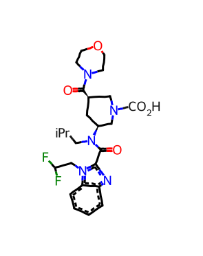 CC(C)CN(C(=O)c1nc2ccccc2n1CC(F)F)[C@H]1C[C@@H](C(=O)N2CCOCC2)CN(C(=O)O)C1